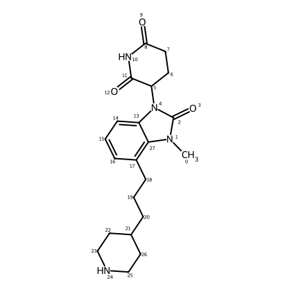 Cn1c(=O)n(C2CCC(=O)NC2=O)c2cccc(CCCC3CCNCC3)c21